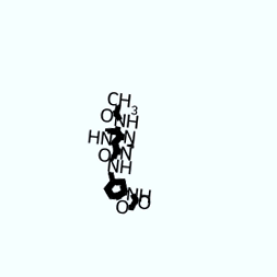 CCC(=O)Nc1c[nH]c2c(C(=O)NCc3ccc4c(c3)NC(=O)CO4)ncnc12